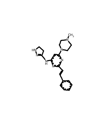 CN1CCN(c2cc(NC3=NNCC3)nc(/C=C/c3ccccc3)n2)CC1